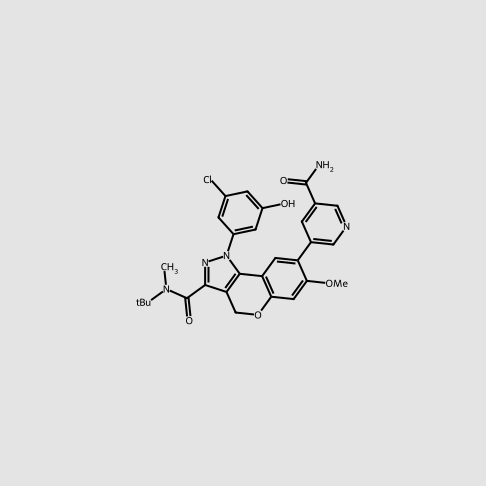 COc1cc2c(cc1-c1cncc(C(N)=O)c1)-c1c(c(C(=O)N(C)C(C)(C)C)nn1-c1cc(O)cc(Cl)c1)CO2